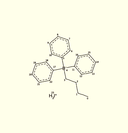 CCCC[B-](c1ccccc1)(c1ccccc1)c1ccccc1.[IH2+]